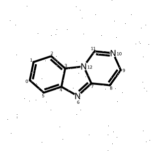 c1ccc2c(c1)nc1ccncn12